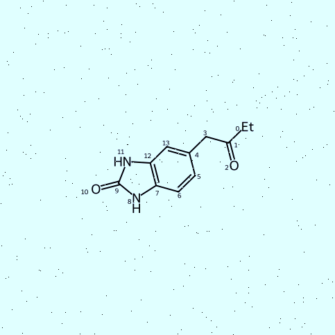 CCC(=O)Cc1ccc2[nH]c(=O)[nH]c2c1